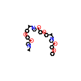 O=C(c1ccc(Oc2ccc(C3CC3CN3CCC[C@@H](C(=O)c4cccc(Oc5cccc(C6CC6CN6CCC[C@H](C(=O)c7cccc(Oc8ccccc8)c7)C6)c5)c4)C3)cc2)cc1)[C@@H]1CCCN(CC2CC2)C1